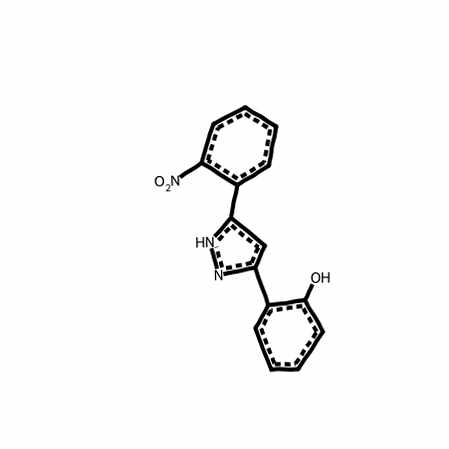 O=[N+]([O-])c1ccccc1-c1cc(-c2ccccc2O)n[nH]1